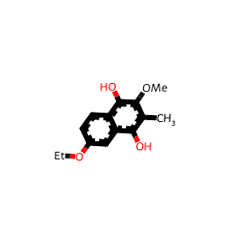 CCOc1ccc2c(O)c(OC)c(C)c(O)c2c1